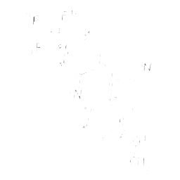 COc1ccc2nc3cc(C(F)(F)F)ccc3c(C#N)c2c1